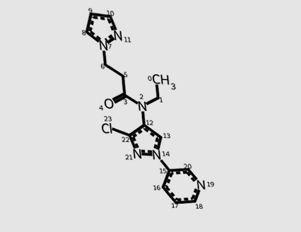 CCN(C(=O)CCn1cccn1)c1cn(-c2cccnc2)nc1Cl